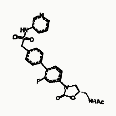 CC(=O)NC[C@H]1CN(c2ccc(-c3ccc(CS(=O)(=O)Nc4cccnc4)cc3)c(F)c2)C(=O)O1